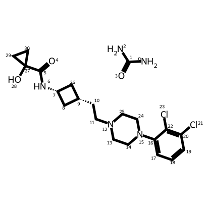 NC(N)=O.O=C(N[C@H]1C[C@@H](CCN2CCN(c3cccc(Cl)c3Cl)CC2)C1)C1(O)CC1